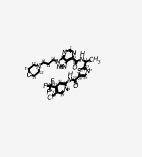 CC(NC(=O)c1ncnc2c1nnn2CCCN1CCOCC1)c1ncc(C(=O)Nc2cc(C(F)(F)F)c(Cl)cn2)s1